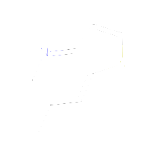 [CH2]c1cnc2ccsc2c1